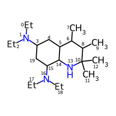 CCN(CC)C1CC2C(C)C(C)C(C)(C)NC2C(N(CC)CC)C1